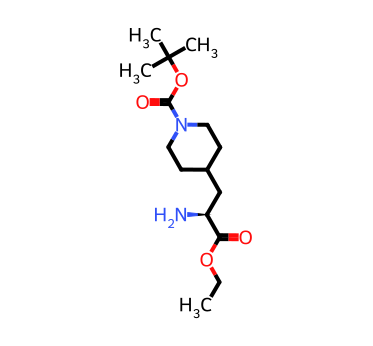 CCOC(=O)[C@@H](N)CC1CCN(C(=O)OC(C)(C)C)CC1